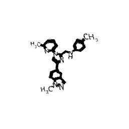 Cc1ccc(NCc2nc(-c3ccc4c(cnn4C)c3)cn2-c2cccc(C)n2)cc1